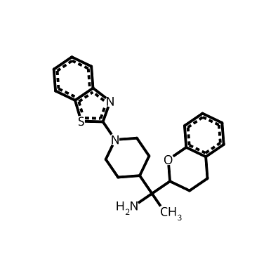 CC(N)(C1CCN(c2nc3ccccc3s2)CC1)C1CCc2ccccc2O1